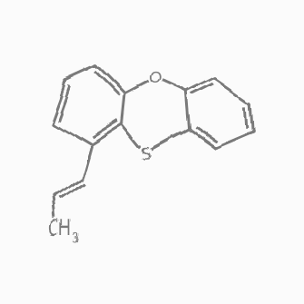 C/C=C/c1cccc2c1Sc1ccccc1O2